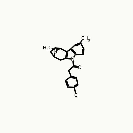 Cc1ccc2c(c1)c1c(n2C(=O)Cc2ccc(Cl)cc2)CC2CCC1N2C